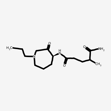 CCCN1CCC[C@H](NC(=O)[CH]CC(C)C(N)=O)C(=O)C1